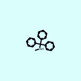 [CH3][SbH][C](c1ccccc1)(c1ccccc1)c1ccccc1